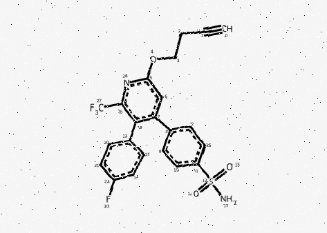 C#CCCOc1cc(-c2ccc(S(N)(=O)=O)cc2)c(-c2ccc(F)cc2)c(C(F)(F)F)n1